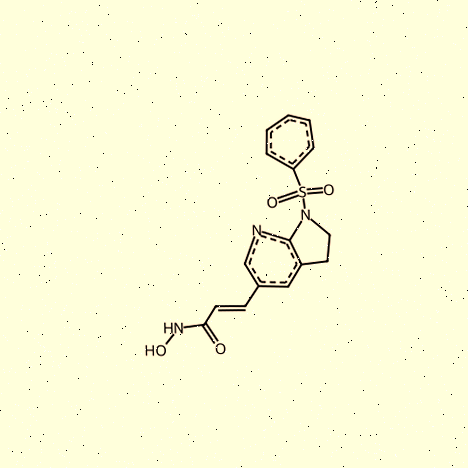 O=C(C=Cc1cnc2c(c1)CCN2S(=O)(=O)c1ccccc1)NO